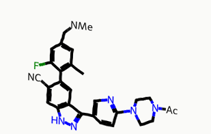 CNCc1cc(C)c(-c2cc3c(-c4ccc(N5CCN(C(C)=O)CC5)nc4)n[nH]c3cc2C#N)c(F)c1